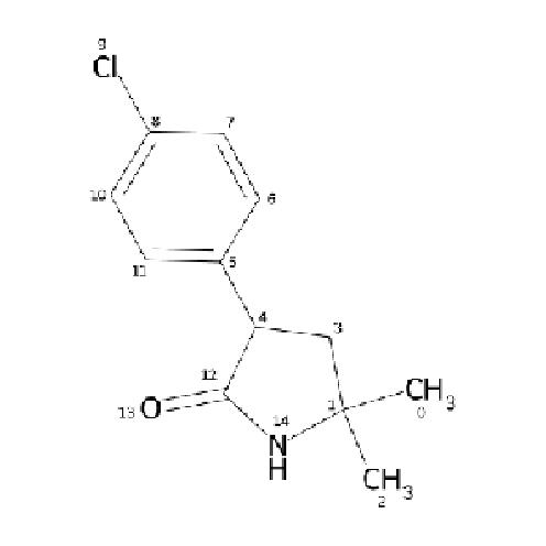 CC1(C)CC(c2ccc(Cl)cc2)C(=O)N1